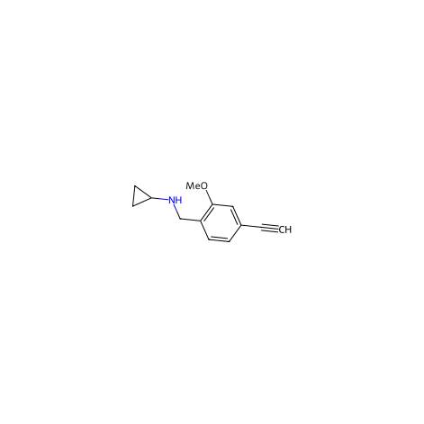 C#Cc1ccc(CNC2CC2)c(OC)c1